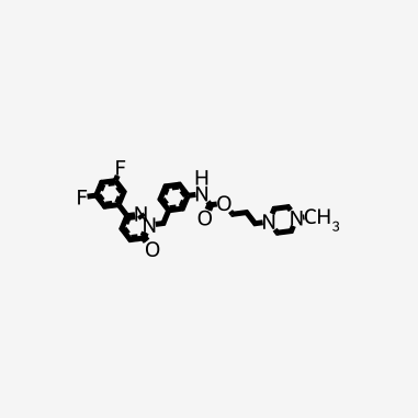 CN1CCN(CCCOC(=O)Nc2cccc(Cn3nc(-c4cc(F)cc(F)c4)ccc3=O)c2)CC1